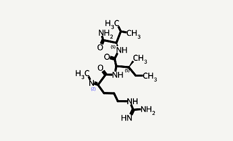 CC[C@H](C)C(NC(=O)/C(CCCNC(=N)N)=N\C)C(=O)N[C@H](C(N)=O)C(C)C